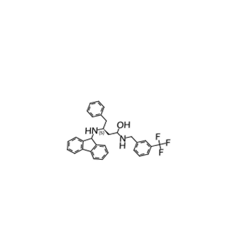 OC(C[C@H](Cc1ccccc1)NC1c2ccccc2-c2ccccc21)NCc1cccc(C(F)(F)F)c1